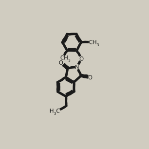 CCc1ccc2c(c1)C(=O)N(Oc1c(C)cccc1C)C2=O